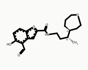 C[C@H](CCNC(=O)c1cc2c(C=O)c(O)ccc2o1)[C@H]1CCCOCC1